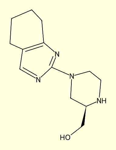 OC[C@H]1CN(c2ncc3c(n2)CCCC3)CCN1